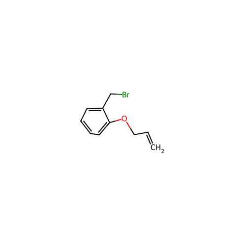 C=CCOc1ccccc1CBr